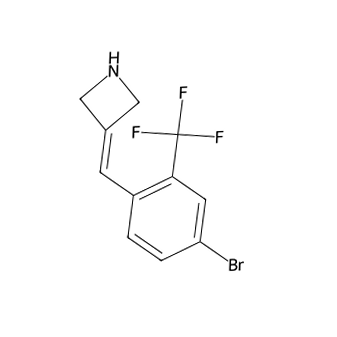 FC(F)(F)c1cc(Br)ccc1C=C1CNC1